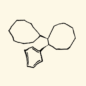 c1ccc([C@@H]2CCCCCC[C@@H]2C2CCCCCCC2)cc1